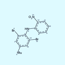 CC(C)(C)c1cc(Br)c(Nc2ccccc2[N+](=O)[O-])c(Br)c1